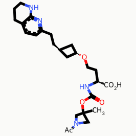 CC(=O)N1CC(C)(OC(=O)N[C@@H](CCO[C@H]2C[C@H](CCc3ccc4c(n3)NCCC4)C2)C(=O)O)C1